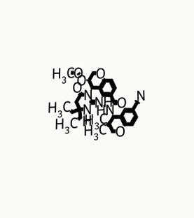 CCC1(CC)CC(=O)N([C@H]2c3cc(C(=O)N[C@@H]4c5cc(C#N)ccc5OCC4(C)C)ccc3OC[C@H]2OOC)C(=N)N1